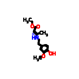 CCOC(=O)/C=C(\C)NCCc1ccc(O)c(OC)c1